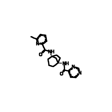 Cc1cccc(C(=O)N[C@]23CCC[C@](NC(=O)c4ccncn4)(CC2)C3)n1